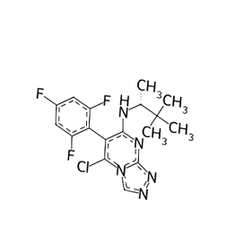 C[C@@H](Nc1nc2nncn2c(Cl)c1-c1c(F)cc(F)cc1F)C(C)(C)C